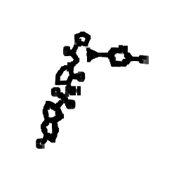 O=C1[C@@H](NS(=O)(=O)c2ccc3cc(Cl)ccc3c2)CCCN1CC(=O)N1CCC[C@@H]1C1C[C@@H]1c1ccc(Cl)nc1